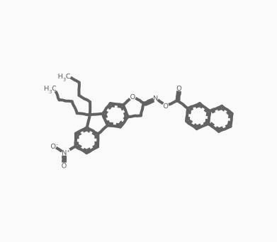 CCCCC1(CCCC)c2cc([N+](=O)[O-])ccc2-c2cc3c(cc21)O/C(=N/OC(=O)c1ccc2ccccc2c1)C3